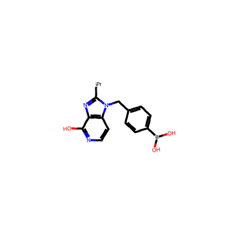 CC(C)c1nc2c(O)nccc2n1Cc1ccc(B(O)O)cc1